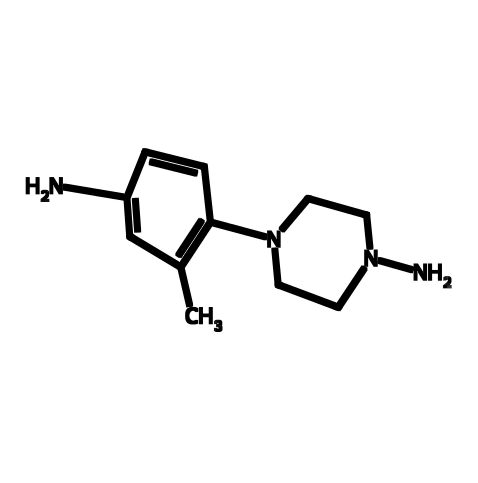 Cc1cc(N)ccc1N1CCN(N)CC1